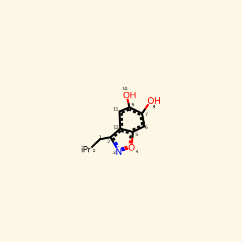 CC(C)Cc1noc2cc(O)c(O)cc12